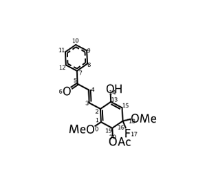 COC1=C(C=CC(=O)c2ccccc2)C(O)=CC(F)(OC)C1OC(C)=O